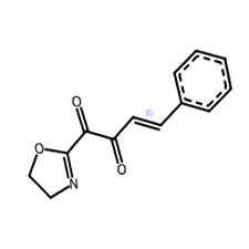 O=C(/C=C/c1ccccc1)C(=O)C1=NCCO1